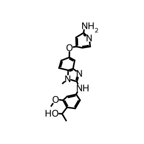 COc1cc(Nc2nc3cc(Oc4ccnc(N)c4)ccc3n2C)ccc1C(C)O